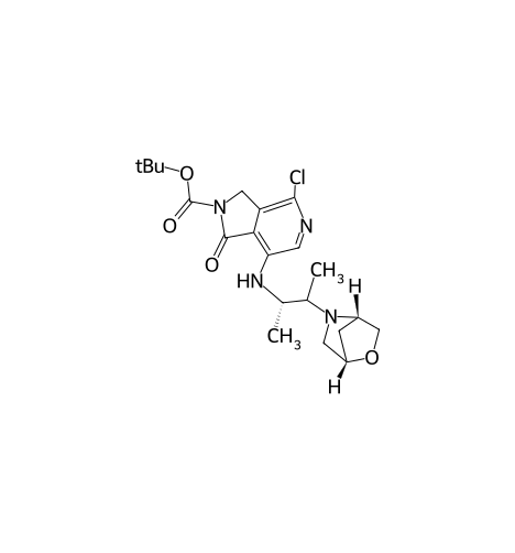 CC([C@H](C)Nc1cnc(Cl)c2c1C(=O)N(C(=O)OC(C)(C)C)C2)N1C[C@@H]2C[C@H]1CO2